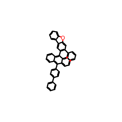 c1ccc(-c2ccc(-c3c4ccccc4c(-c4cc5c(cc4-c4ccccc4)oc4ccccc45)c4ccccc34)cc2)cc1